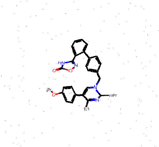 CCCC1N=C(CC)C(c2ccc(OC(C)C)cc2)=CN1Cc1ccc(-c2ccccc2-c2noc(=O)[nH]2)cc1